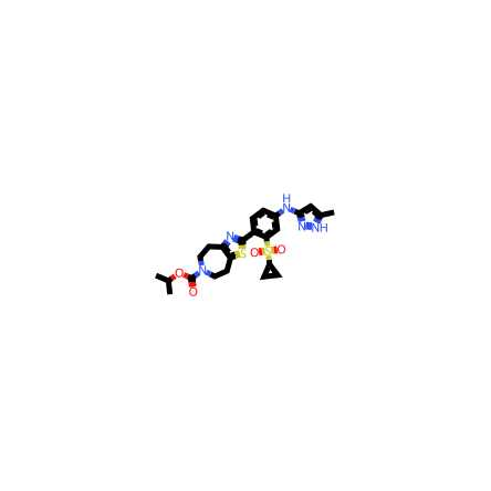 Cc1cc(Nc2ccc(-c3nc4c(s3)CCN(C(=O)OC(C)C)CC4)c(S(=O)(=O)C3CC3)c2)n[nH]1